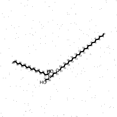 CCCCCCCCCCCCCCCCCCCCCCCCOCC(O)CN(CCO)C(=O)CCCCCCCCCCCCCCC